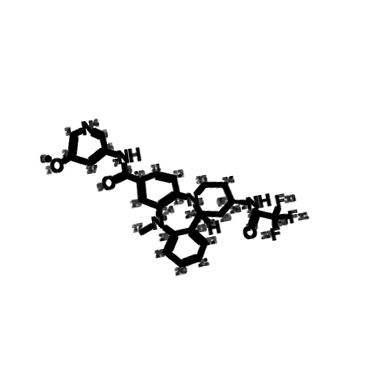 COc1cncc(NC(=O)c2ccc3c(c2)N(C)c2ccccc2[C@H]2C[C@H](NC(=O)C(F)(F)F)CCN32)c1